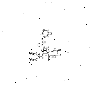 COC(CC1N[C@H](C(=O)OCc2ccccc2)Cc2c1[nH]c1ccccc21)OC